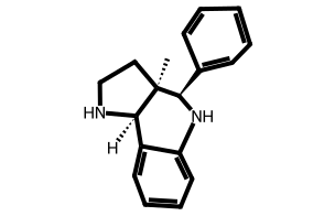 C[C@@]12CCN[C@@H]1c1ccccc1N[C@@H]2c1ccccc1